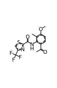 COc1ccc(C(C)=O)c(NC(=O)c2nc(C(F)(F)F)cs2)c1C